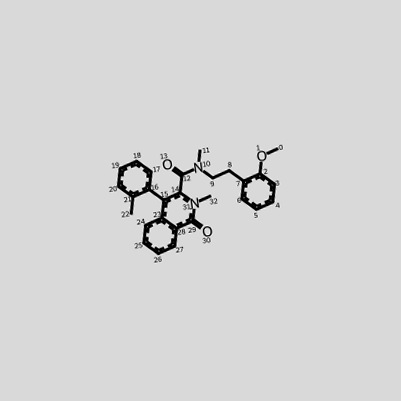 COc1ccccc1CCN(C)C(=O)c1c(-c2ccccc2C)c2ccccc2c(=O)n1C